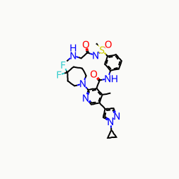 CNCC(=O)N=[S@](C)(=O)c1cccc(NC(=O)c2c(N3CCCC(F)(F)CC3)ncc(-c3cnn(C4CC4)c3)c2C)c1